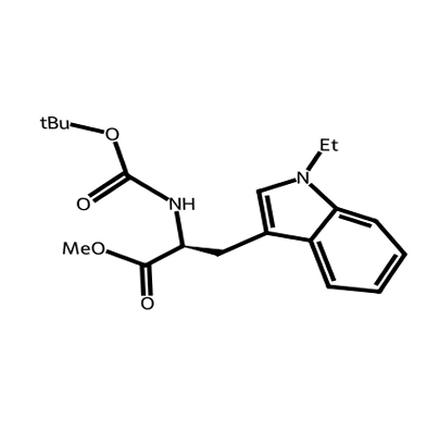 CCn1cc(C[C@H](NC(=O)OC(C)(C)C)C(=O)OC)c2ccccc21